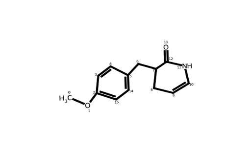 COc1ccc(CC2CC=CNC2=O)cc1